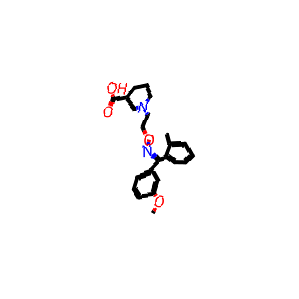 COc1cccc(C(=NOCCN2CCCC(C(=O)O)C2)c2ccccc2C)c1